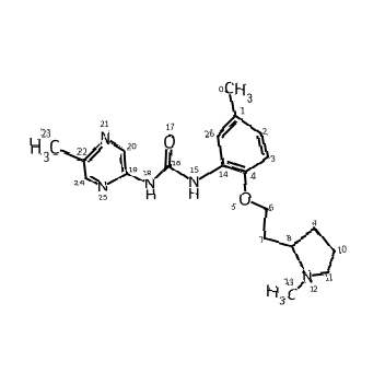 Cc1ccc(OCCC2CCCN2C)c(NC(=O)Nc2cnc(C)cn2)c1